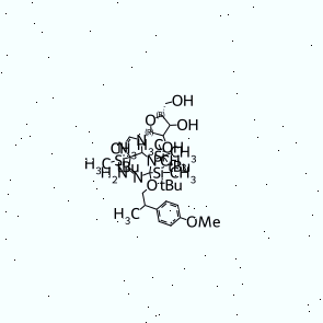 COc1ccc(C(C)COC2([Si](C)(C)C(C)(C)C)N=C(N)C3([Si](C)(C)C(C)(C)C)N=CN([C@@H]4O[C@H](CO)C(O)C4O)C3N2[Si](C)(C)C(C)(C)C)cc1